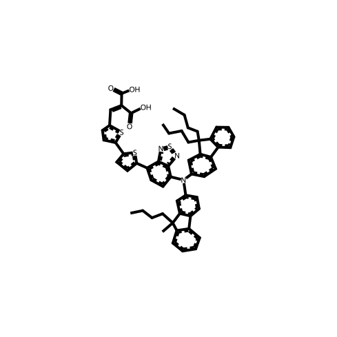 CCCCC1(C)c2ccccc2-c2ccc(N(c3ccc4c(c3)C(CCCC)(CCCC)c3ccccc3-4)c3ccc(-c4ccc(-c5ccc(C=C(C(=O)O)C(=O)O)s5)s4)c4nsnc34)cc21